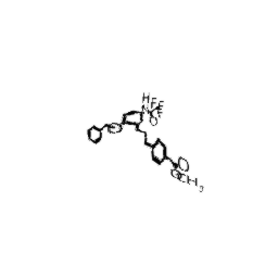 COC(=O)c1ccc(CCCc2cc(NC(=O)C(F)(F)F)ccc2OCc2ccccc2)cc1